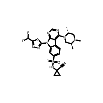 C[C@@H]1CN(C)[C@@H](C)CN1c1ncnc2c1c1ccc(S(=O)(=O)NC3(C#N)CC3)cc1n2-c1nnc(C(F)F)s1